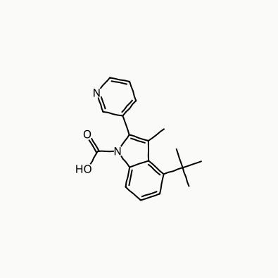 Cc1c(-c2cccnc2)n(C(=O)O)c2cccc(C(C)(C)C)c12